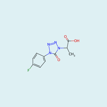 CC(C(=O)O)n1nnn(-c2ccc(F)cc2)c1=O